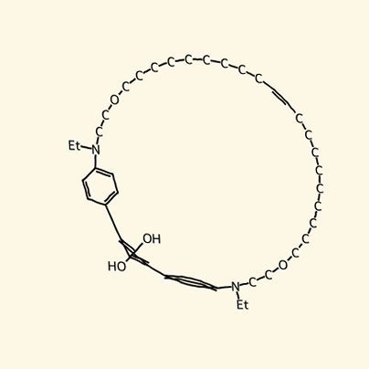 CCN1CCOCCCCCCCCCC=CCCCCCCCCCOCCN(CC)c2ccc(cc2)C2=C(O)C(=C2O)c2ccc1cc2